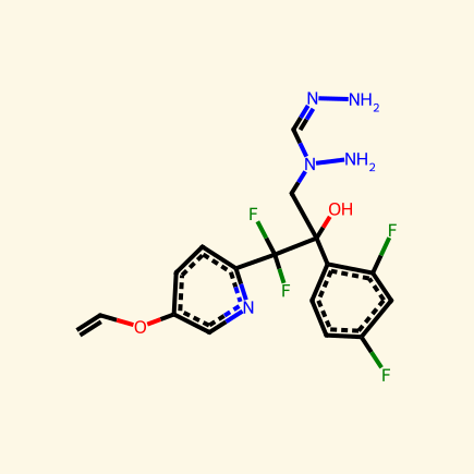 C=COc1ccc(C(F)(F)C(O)(CN(N)/C=N\N)c2ccc(F)cc2F)nc1